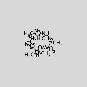 COc1c(-c2cn3ncc(C(=O)Nc4cc(NC(=O)CN5CC(C)(C)C5)cnc4C)c3s2)c(C)nn1C